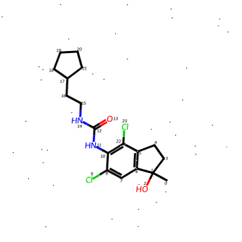 CC1(O)CCc2c1cc(Cl)c(NC(=O)NCCC1CCCC1)c2Cl